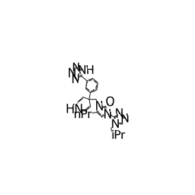 CCCc1cn(-c2nncn2CC(C)C)c(=O)n1CC1(c2cccc(-c3nnn[nH]3)c2)C=CNC=C1